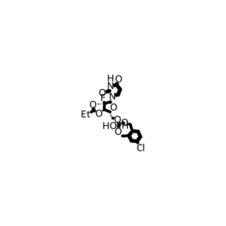 CCC(=O)O[C@@H]1[C@@H](CO[PH]2(O)OCc3ccc(Cl)cc3CO2)O[C@@H](n2ccc(=O)[nH]c2=O)[C@]1(C)F